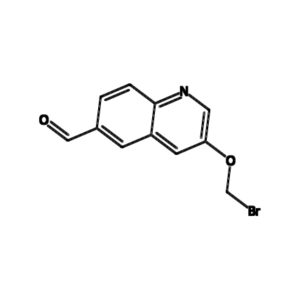 O=Cc1ccc2ncc(OCBr)cc2c1